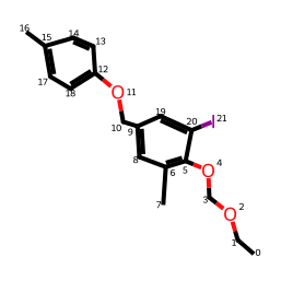 CCOCOc1c(C)cc(COc2ccc(C)cc2)cc1I